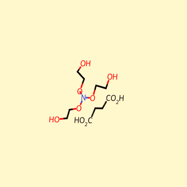 O=C(O)CCC(=O)O.OCCON(OCCO)OCCO